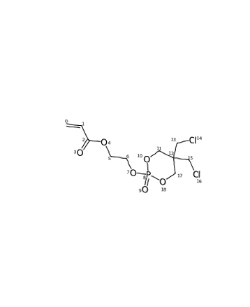 C=CC(=O)OCCOP1(=O)OCC(CCl)(CCl)CO1